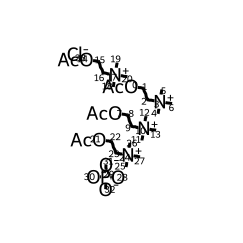 CC(=O)OCC[N+](C)(C)C.CC(=O)OCC[N+](C)(C)C.CC(=O)OCC[N+](C)(C)C.CC(=O)OCC[N+](C)(C)C.O=P([O-])([O-])[O-].[Cl-]